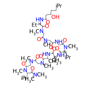 CC[C@H](NC(=O)CC(O)CCC(C)C)C(=O)N(C)CC(=O)N(C)CC(=O)NCC(=O)N(C)[C@@H](CC(C)C)C(=O)N[C@@H](C)C(=O)NC(C)C(=O)N(C)CC(=O)N(C)CC(=O)N(C)C(C(=O)N(C)C)C(C)C